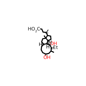 CC[C@@H]1C(C)C[C@H](O)CCC[C@H]2CCC3(C)C([C@H](C)CCC(=O)O)CC[C@H]3[C@@H]2[C@@H]1O